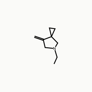 C=C1CN(CC)CC12CC2